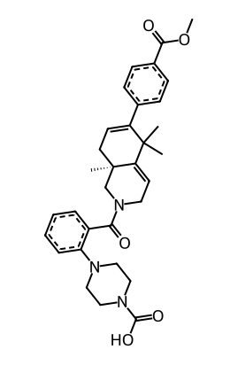 COC(=O)c1ccc(C2=CC[C@]3(C)CN(C(=O)c4ccccc4N4CCN(C(=O)O)CC4)CC=C3C2(C)C)cc1